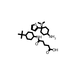 CC(C)(C)C1CCC(NC(=O)CCCC(=O)O)CC1.CN(C)C1(c2cccs2)CCC(N)CC1